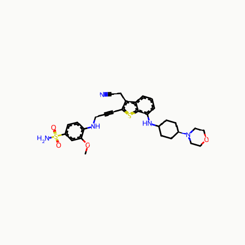 COc1cc(S(N)(=O)=O)ccc1NCC#Cc1sc2c(NC3CCC(N4CCOCC4)CC3)cccc2c1CC#N